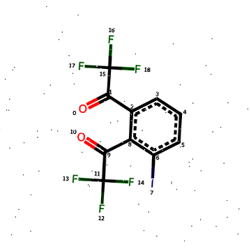 O=C(c1cccc(I)c1C(=O)C(F)(F)F)C(F)(F)F